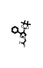 CC1(C)OB(c2cn(CC(F)F)nc2-c2ccccc2)OC1(C)C